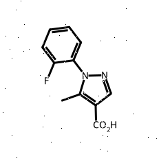 Cc1c(C(=O)O)cnn1-c1ccccc1F